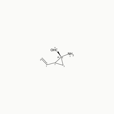 C=CC1C[C@]1(N)C=O